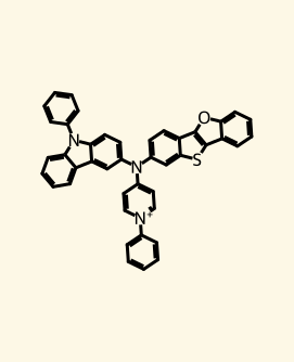 c1ccc(-n2c3ccccc3c3cc(N(c4cc[n+](-c5ccccc5)cc4)c4ccc5c(c4)sc4c6ccccc6oc54)ccc32)cc1